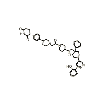 CN(CC1(c2ccccc2)CCN(c2cnnc(-c3ccccc3O)c2)CC1)C1CCN(C(=O)CN2CCC(c3ccc([C@H]4CCC(=O)NC4=O)cc3)CC2)CC1